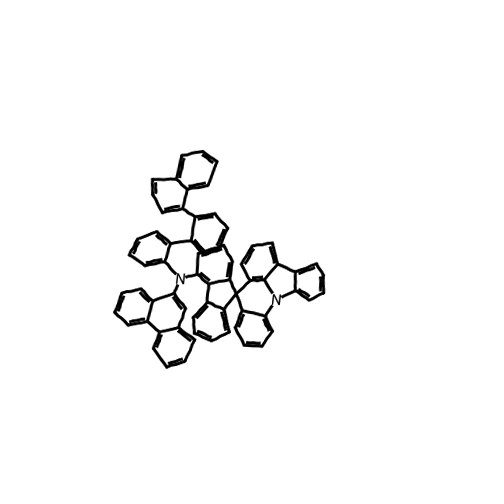 c1ccc(-c2cccc3ccccc23)c(-c2ccccc2N(c2cccc3c2-c2ccccc2C32c3ccccc3-n3c4ccccc4c4cccc2c43)c2cc3ccccc3c3ccccc23)c1